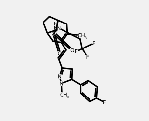 CC1=C(/C=C/c2cc(-c3ccc(F)cc3)n(C)n2)CC2CCC(C1)C21CN(CC(F)(F)F)S(=O)(=O)N1